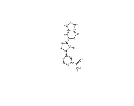 O=C(O)c1cccc(N2CCN(C3C=C4OCOC4=CC3)C2=O)c1